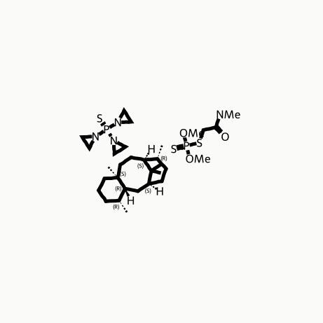 CNC(=O)CSP(=S)(OC)OC.C[C@@H]1CCC[C@@]2(C)CC[C@H]3[C@H](C)CC[C@@H](C[C@H]12)C3(C)C.S=P(N1CC1)(N1CC1)N1CC1